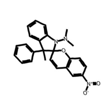 CN(C)N1c2ccccc2C(C)(c2ccccc2)C12C=Cc1cc([N+](=O)[O-])ccc1O2